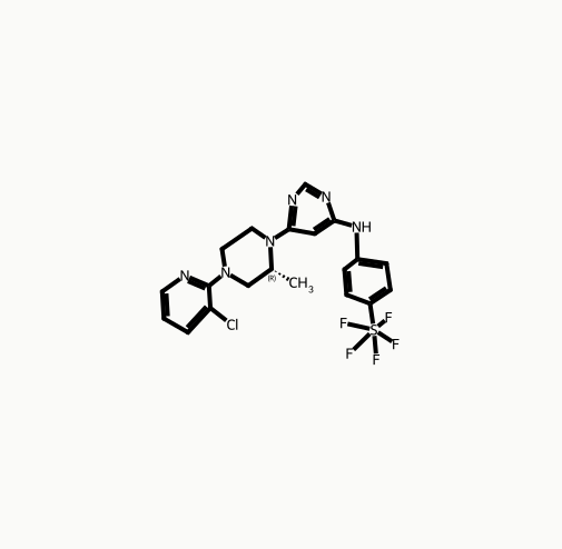 C[C@@H]1CN(c2ncccc2Cl)CCN1c1cc(Nc2ccc(S(F)(F)(F)(F)F)cc2)ncn1